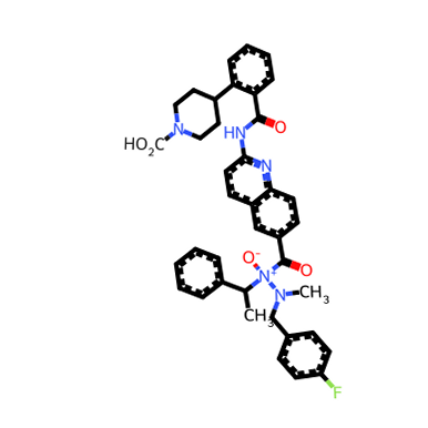 CC(c1ccccc1)[N+]([O-])(C(=O)c1ccc2nc(NC(=O)c3ccccc3C3CCN(C(=O)O)CC3)ccc2c1)N(C)Cc1ccc(F)cc1